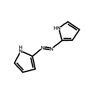 c1c[nH]c(N=Nc2ccc[nH]2)c1